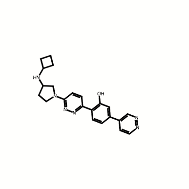 Oc1cc(-c2ccnnc2)ccc1-c1ccc(N2CCC(NC3CCC3)C2)nn1